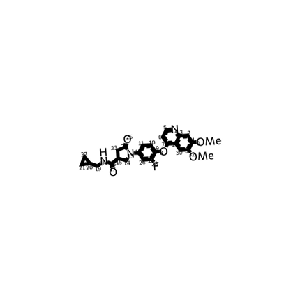 COc1cc2nccc(Oc3ccc(N4CC(C(=O)NCC5CC5)CC4=O)cc3F)c2cc1OC